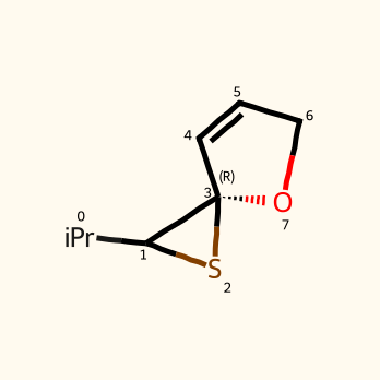 CC(C)C1S[C@]12C=CCO2